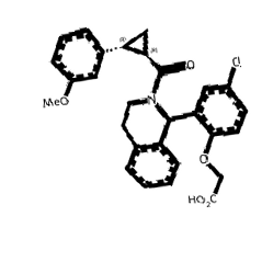 COc1cccc([C@@H]2C[C@H]2C(=O)N2CCc3ccccc3C2c2cc(Cl)ccc2OCC(=O)O)c1